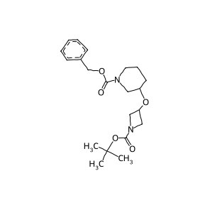 CC(C)(C)OC(=O)N1CC(OC2CCCN(C(=O)OCc3ccccc3)C2)C1